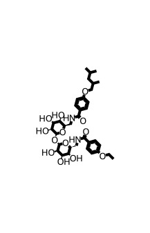 CCOc1ccc(C(=O)NC[C@H]2O[C@H](O[C@H]3O[C@H](CNC(=O)c4ccc(OCC(C)CC(C)C)cc4)[C@@H](O)[C@H](O)[C@H]3O)[C@H](O)[C@@H](O)[C@@H]2O)cc1